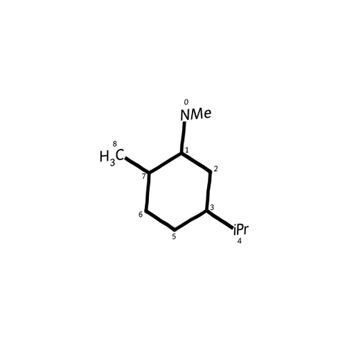 CNC1CC(C(C)C)CCC1C